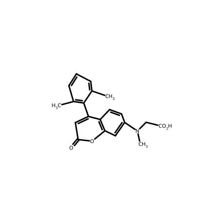 Cc1cccc(C)c1-c1cc(=O)oc2cc(N(C)CC(=O)O)ccc12